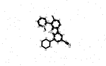 Cc1ccc2c(oc3c(C4CCCCC4)cc(C#N)cc32)c1-c1cccc[n+]1C